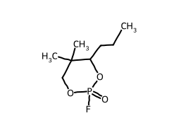 CCCC1OP(=O)(F)OCC1(C)C